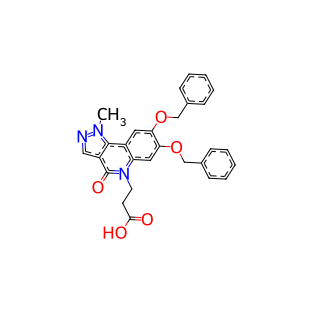 Cn1ncc2c(=O)n(CCC(=O)O)c3cc(OCc4ccccc4)c(OCc4ccccc4)cc3c21